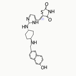 O=C1NC(=O)/C(=C/C2=CC=NC(N[C@H]3CC[C@H](NCc4ccc5cc(O)ccc5c4)CC3)N2)S1